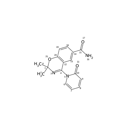 CC1(C)N=C(n2ccccc2=O)c2cc(C(N)=O)ccc2O1